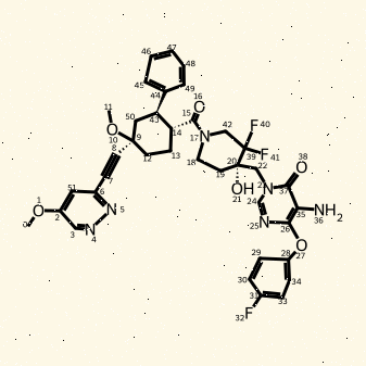 COc1cnnc(C#C[C@@]2(OC)CC[C@@H](C(=O)N3CC[C@](O)(Cn4cnc(Oc5ccc(F)cc5)c(N)c4=O)C(F)(F)C3)[C@H](c3ccccc3)C2)c1